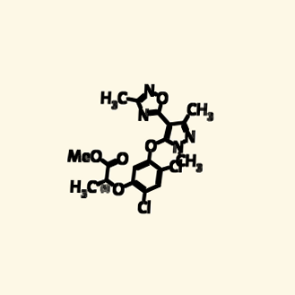 COC(=O)[C@H](C)Oc1cc(Oc2c(-c3nc(C)no3)c(C)nn2C)c(Cl)cc1Cl